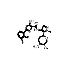 CO[C@H]1CO[C@H](c2c(NC(=O)c3nc(-c4cccc(F)c4F)sc3N)cnn2C)CC[C@H]1N